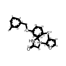 Cc1cccc(COc2ccc(Sc3ccoc3N3CC(=O)NC3=O)cc2)c1